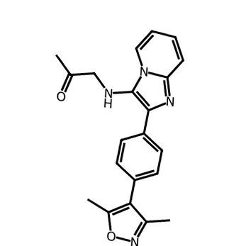 CC(=O)CNc1c(-c2ccc(-c3c(C)noc3C)cc2)nc2ccccn12